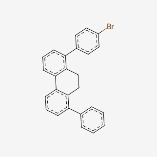 Brc1ccc(-c2cccc3c2CCc2c(-c4ccccc4)cccc2-3)cc1